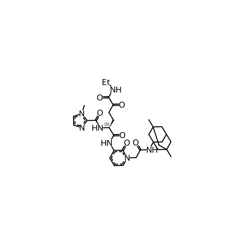 CCNC(=O)C(=O)CC[C@H](NC(=O)c1nccn1C)C(=O)Nc1cccn(CC(=O)NC23CC4CC(C)(CC(C)(C4)C2)C3)c1=O